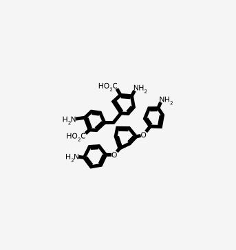 Nc1ccc(Cc2ccc(N)c(C(=O)O)c2)cc1C(=O)O.Nc1ccc(Oc2cccc(Oc3ccc(N)cc3)c2)cc1